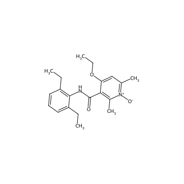 CCOc1cc(C)[n+]([O-])c(C)c1C(=O)Nc1c(CC)cccc1CC